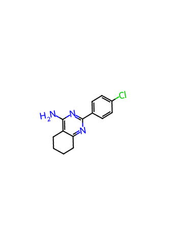 Nc1nc(-c2ccc(Cl)cc2)nc2c1CCCC2